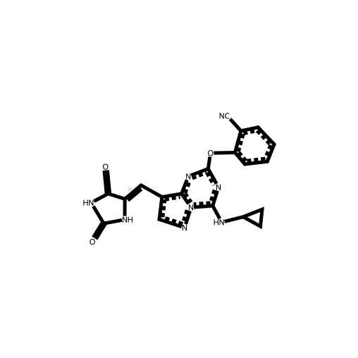 N#Cc1ccccc1Oc1nc(NC2CC2)n2ncc(/C=C3\NC(=O)NC3=O)c2n1